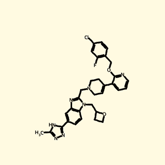 Cc1nnc(-c2ccc3c(c2)nc(CN2CC=C(c4cccnc4OCc4ccc(Cl)cc4F)CC2)n3CC2CCO2)[nH]1